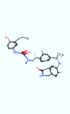 CNCc1cc(NC(=O)N(C)C[C@H](C)c2ccc(C(Nc3cc4c(cc3F)CNC4=O)C(=O)O)cc2C)ccc1O